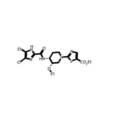 CCOC(=O)c1cnc(N2CC[C@@H](NC(=O)c3nc(Cl)c(CC)[nH]3)[C@@H](OCC)C2)s1